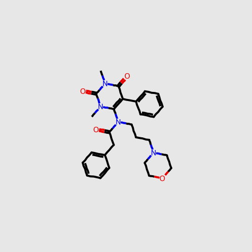 Cn1c(N(CCCN2CCOCC2)C(=O)Cc2ccccc2)c(-c2ccccc2)c(=O)n(C)c1=O